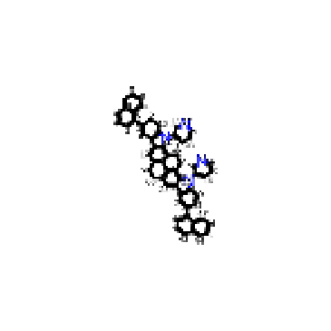 C1=C(c2cccc3ccccc23)CCc2c1c1cc3c4c(c1n2-c1cccnc1)CCc1c-4c(cc2c4cc(-c5cccc6ccccc56)ccc4n(-c4cccnc4)c12)CC3